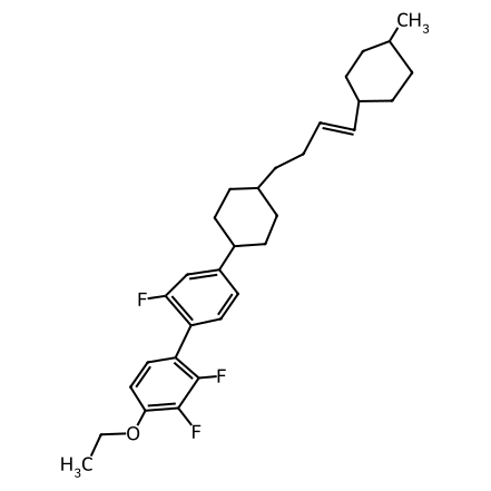 CCOc1ccc(-c2ccc(C3CCC(CC/C=C/C4CCC(C)CC4)CC3)cc2F)c(F)c1F